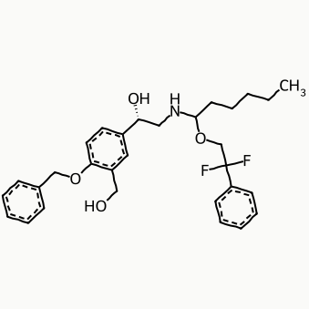 CCCCCC(NC[C@@H](O)c1ccc(OCc2ccccc2)c(CO)c1)OCC(F)(F)c1ccccc1